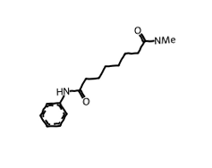 CNC(=O)CCCCCCC(=O)Nc1ccccc1